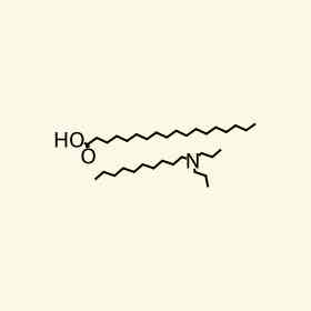 CCCCCCCCCCCCCCCCCC(=O)O.CCCCCCCCCCN(CCC)CCC